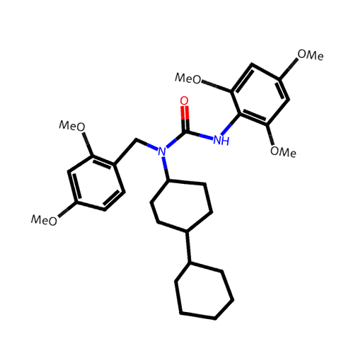 COc1ccc(CN(C(=O)Nc2c(OC)cc(OC)cc2OC)C2CCC(C3CCCCC3)CC2)c(OC)c1